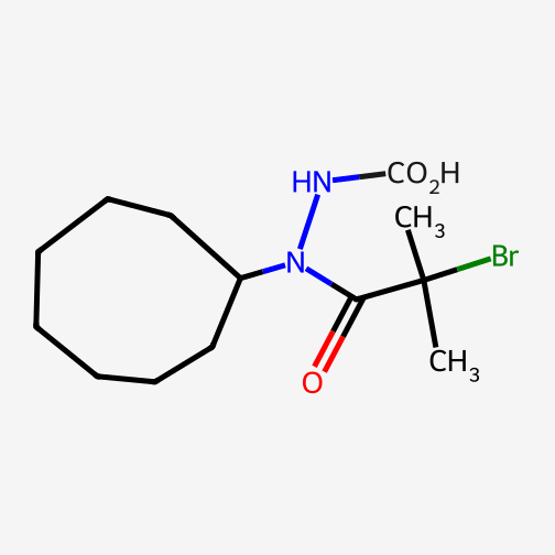 CC(C)(Br)C(=O)N(NC(=O)O)C1CCCCCCC1